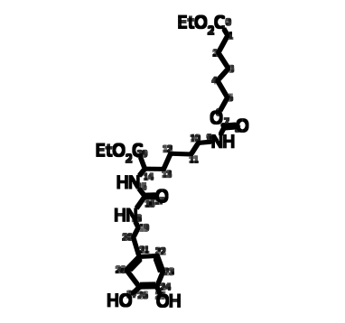 CCOC(=O)CCCCCOC(=O)NCCCCC(NC(=O)NCCc1ccc(O)c(O)c1)C(=O)OCC